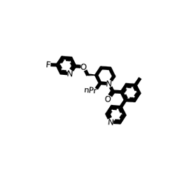 CCCC1[C@@H](COc2ccc(F)cn2)CCCN1C(=O)c1cc(C)ccc1-c1ccncc1